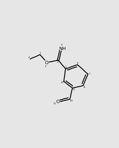 CCOC(=N)c1cccc(C=O)c1